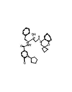 O=C(N[C@@H](Cc1ccccc1)[C@H](O)CN[C@H]1CC2(CCC2)Oc2ccccc21)c1ccc(=O)n(C2CCCC2)c1